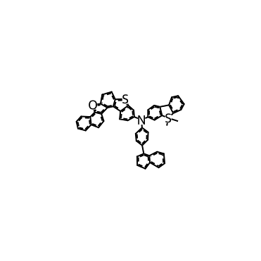 CS1(C)c2ccccc2-c2ccc(N(c3ccc(-c4cccc5ccccc45)cc3)c3ccc4c(c3)sc3ccc5oc6c7ccccc7ccc6c5c34)cc21